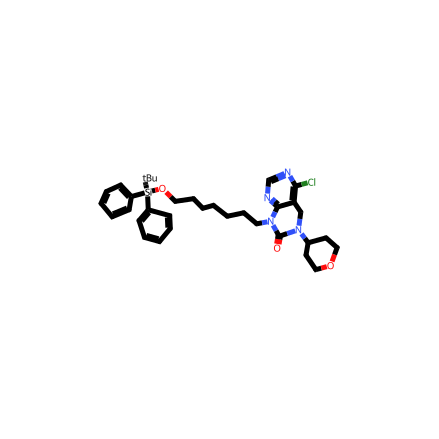 CC(C)(C)[Si](OCCCCCCCN1C(=O)N(C2CCOCC2)Cc2c(Cl)ncnc21)(c1ccccc1)c1ccccc1